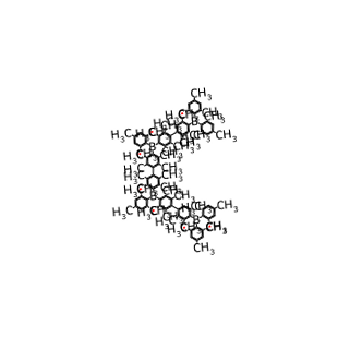 Cc1cc(C)c(B(c2c(C)cc(C)cc2C)c2c(C)cc(-c3c(C)c(C)c(B(c4c(C)cc(C)cc4C)c4c(C)c(C)c(-c5c(C)c(C)c(B(c6c(C)cc(C)cc6C)c6c(C)c(C)c(-c7c(C)c(C)c(B(c8c(C)cc(C)cc8C)c8c(C)cc(C)cc8C)c(C)c7C)c(C)c6C)c(C)c5C)c(C)c4C)c(C)c3C)c(C)c2C)c(C)c1